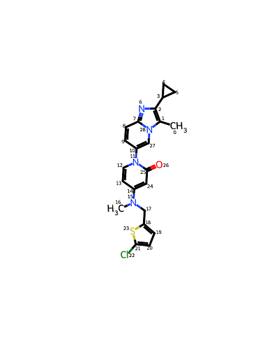 Cc1c(C2CC2)nc2ccc(-n3ccc(N(C)Cc4ccc(Cl)s4)cc3=O)cn12